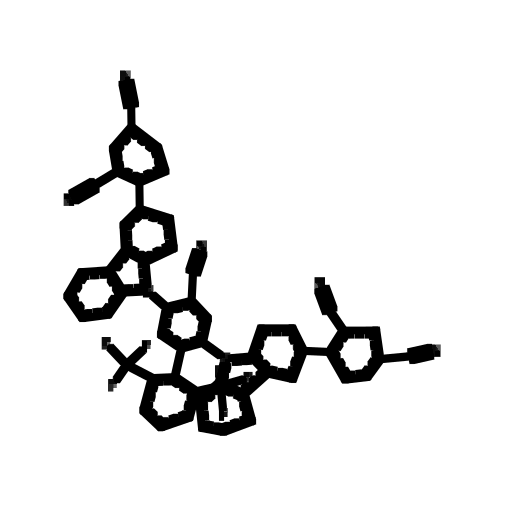 N#Cc1ccc(-c2ccc3c(c2)c2ccccc2n3-c2cc(-c3c(C(F)(F)F)cccc3C(F)(F)F)c(-n3c4ccccc4c4cc(-c5ccc(C#N)cc5C#N)ccc43)cc2C#N)c(C#N)c1